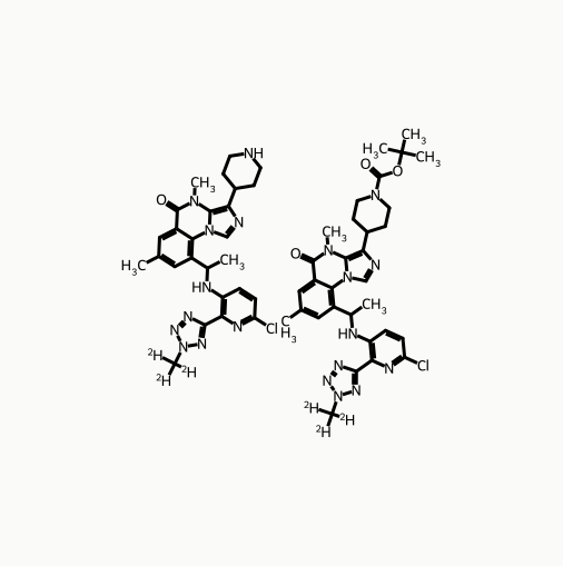 [2H]C([2H])([2H])n1nnc(-c2nc(Cl)ccc2NC(C)c2cc(C)cc3c(=O)n(C)c4c(C5CCN(C(=O)OC(C)(C)C)CC5)ncn4c23)n1.[2H]C([2H])([2H])n1nnc(-c2nc(Cl)ccc2NC(C)c2cc(C)cc3c(=O)n(C)c4c(C5CCNCC5)ncn4c23)n1